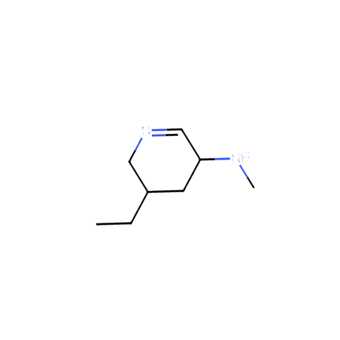 CCC1CN=CC(NC)C1